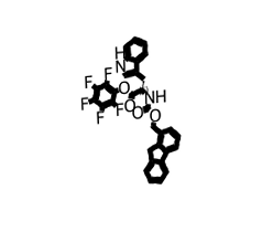 O=C(N[C@@H](Cc1c[nH]c2ccccc12)C(=O)Oc1c(F)c(F)c(F)c(F)c1F)OCc1cccc2c1Cc1ccccc1-2